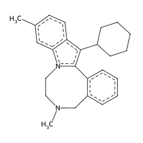 Cc1ccc2c(C3CCCCC3)c3n(c2c1)CCN(C)Cc1ccccc1-3